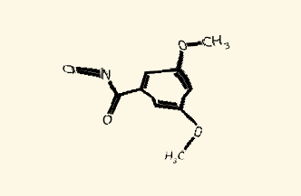 COc1cc(OC)cc(C(=O)N=O)c1